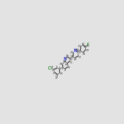 Cc1cc(Cl)cc(-c2ccc3cc(-c4ccc(-c5ccc(F)cc5)nc4)cnc3c2)c1